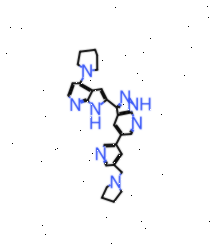 c1cc(N2CCCCC2)c2cc(-c3n[nH]c4ncc(-c5cncc(CN6CCCC6)c5)cc34)[nH]c2n1